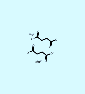 O=C([O-])CCC(=O)[O-].O=C([O-])CCC(=O)[O-].[Mg+2].[Mg+2]